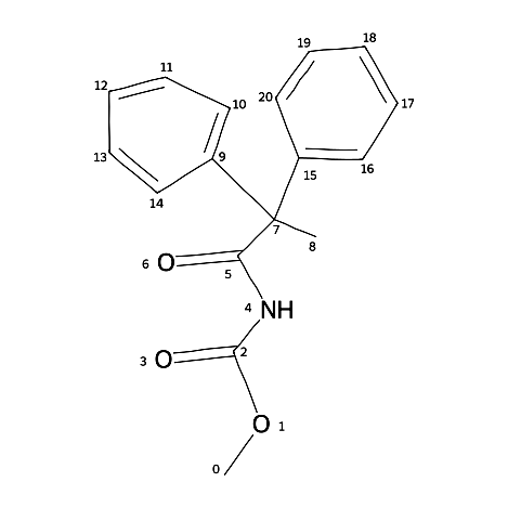 COC(=O)NC(=O)C(C)(c1ccccc1)c1ccccc1